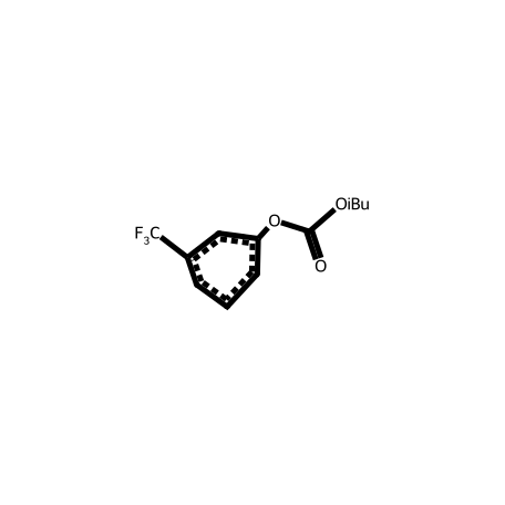 CC(C)COC(=O)Oc1cccc(C(F)(F)F)c1